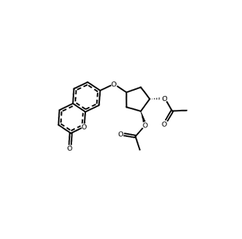 CC(=O)O[C@H]1CC(Oc2ccc3ccc(=O)oc3c2)C[C@@H]1OC(C)=O